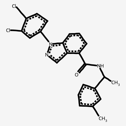 Cc1cccc(C(C)NC(=O)c2cccc3c2cnn3-c2ccc(Cl)c(Cl)c2)c1